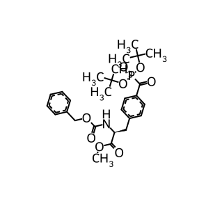 COC(=O)[C@H](Cc1ccc(C(=O)P(=O)(OC(C)(C)C)OC(C)(C)C)cc1)NC(=O)OCc1ccccc1